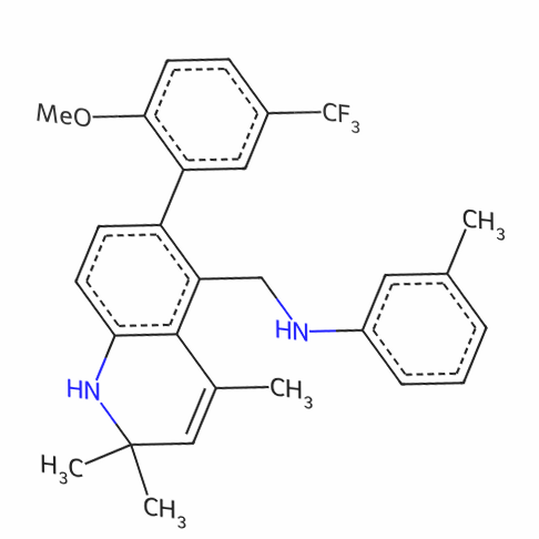 COc1ccc(C(F)(F)F)cc1-c1ccc2c(c1CNc1cccc(C)c1)C(C)=CC(C)(C)N2